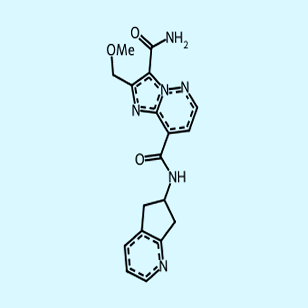 COCc1nc2c(C(=O)NC3Cc4cccnc4C3)ccnn2c1C(N)=O